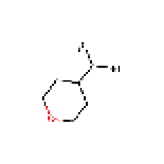 CCC(C)C1CCOCC1